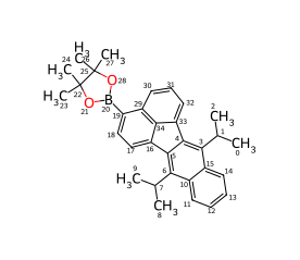 CC(C)c1c2c(c(C(C)C)c3ccccc13)-c1ccc(B3OC(C)(C)C(C)(C)O3)c3cccc-2c13